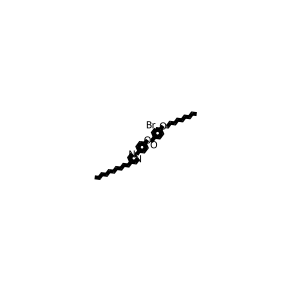 CCCCCCCCCCc1cnc(-c2ccc(OC(=O)c3ccc(OCCCCCCCCC)c(Br)c3)cc2)nc1